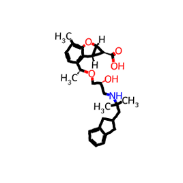 Cc1ccc([C@@H](C)OC[C@H](O)CNC(C)(C)CC2Cc3ccccc3C2)c2c1O[C@@H]1[C@@H](C(=O)O)[C@H]21